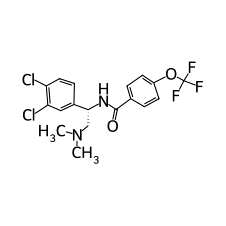 CN(C)C[C@@H](NC(=O)c1ccc(OC(F)(F)F)cc1)c1ccc(Cl)c(Cl)c1